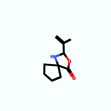 C=C(C)C1NC2(CCCC2)C(=O)O1